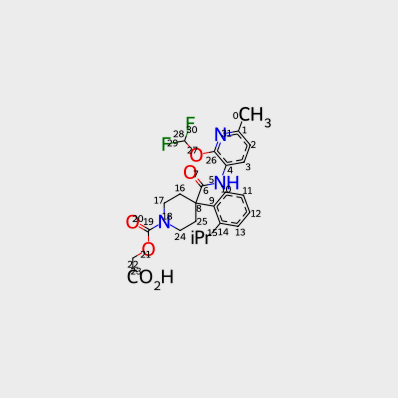 Cc1ccc(NC(=O)C2(c3ccccc3C(C)C)CCN(C(=O)OCC(=O)O)CC2)c(OC(F)F)n1